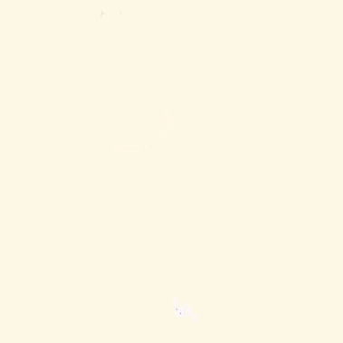 CCOC(=O)c1ccc(OC(=O)CCc2ccc(N)cc2)cc1